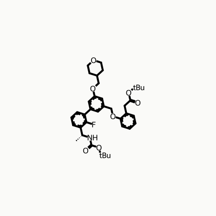 C[C@@H](NC(=O)OC(C)(C)C)c1cccc(-c2cc(COc3ccccc3CC(=O)OC(C)(C)C)cc(OCC3CCOCC3)c2)c1F